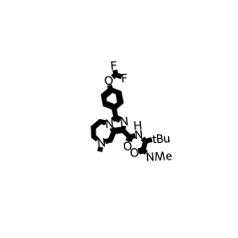 CNC(=O)C(NC(=O)c1nc(-c2ccc(OC(F)F)cc2)n2c1CN(C)CCC2)C(C)(C)C